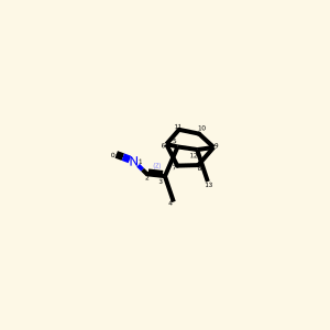 C=N/C=C(/C)C1C2CCC(CC2)C1C